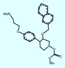 CNCCCOc1ccc(C2CCN(OC(=O)OC(C)(C)C)CC2OCc2ccc3ccccc3c2)cc1